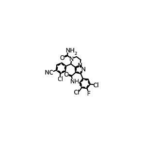 N#Cc1ccc(C2c3c(C(N)=O)c(-c4cc(Cl)c(F)c(Cl)c4)nn3CCN2C(N)=O)cc1Cl